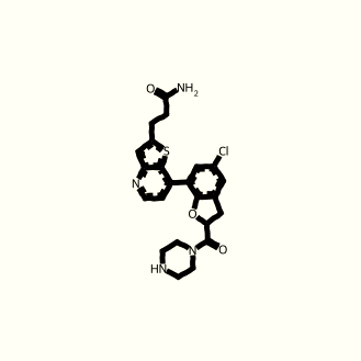 NC(=O)CCc1cc2nccc(-c3cc(Cl)cc4c3OC(C(=O)N3CCNCC3)C4)c2s1